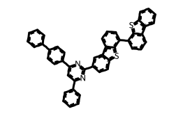 c1ccc(-c2ccc(-c3cc(-c4ccccc4)nc(-c4ccc5sc6c(-c7cccc8c7sc7ccccc78)cccc6c5c4)n3)cc2)cc1